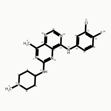 Cc1nc(NC2CCN(C)CC2)nc2c(Nc3ccc(F)c(Cl)c3)ncnc12